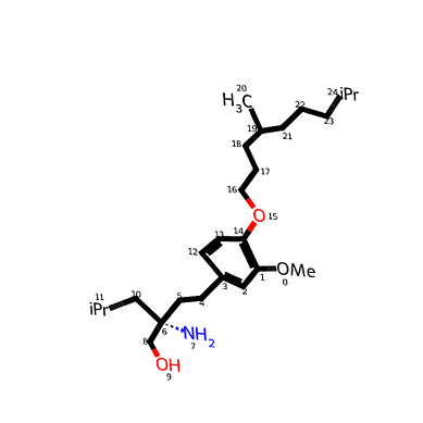 COc1cc(CC[C@@](N)(CO)CC(C)C)ccc1OCCCC(C)CCCC(C)C